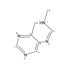 CN/C=N\c1cncnc1C